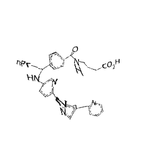 CCCC(Nc1ccc(-n2cc(-c3ccccn3)cn2)nc1)c1ccc(C(=O)NCCC(=O)O)cc1